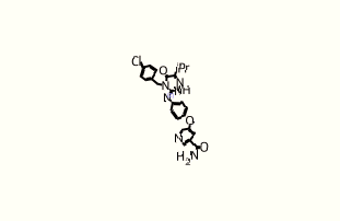 CC(C)c1n[nH]/c(=N\c2ccc(Oc3cncc(C(N)=O)c3)cc2)n(Cc2ccc(Cl)cc2)c1=O